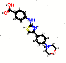 O=C(O)c1ccc(Nc2nc(-c3ccc(N4CCOCC4)cc3)cs2)cc1